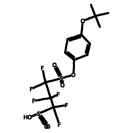 CC(C)(C)Oc1ccc(OS(=O)(=O)C(F)(F)C(F)(F)C(F)(F)S(=O)(=O)O)cc1